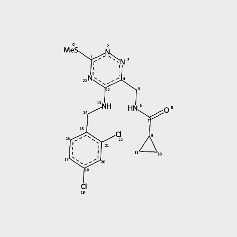 CSc1nnc(CNC(=O)C2CC2)c(NCc2ccc(Cl)cc2Cl)n1